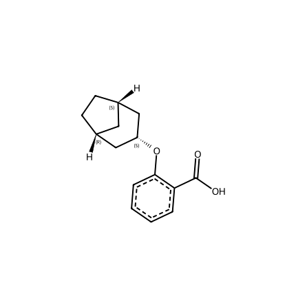 O=C(O)c1ccccc1O[C@@H]1C[C@@H]2CC[C@@H](C2)C1